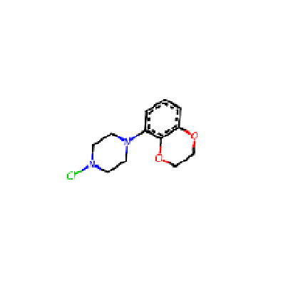 ClN1CCN(c2cccc3c2OCCO3)CC1